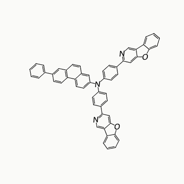 c1ccc(-c2ccc3c(ccc4cc(N(c5ccc(-c6cc7oc8ccccc8c7cn6)cc5)c5ccc(-c6cc7oc8ccccc8c7cn6)cc5)ccc43)c2)cc1